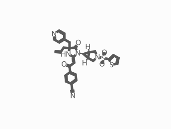 C=CCC1(Cc2ccncc2)N/C(=C\C(=O)c2ccc(C#N)cc2)N([C@H]2[C@@H]3CN(S(=O)(=O)c4cccs4)C[C@@H]32)C1=O